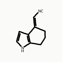 [C-]#[N+]C=C1CCCc2[nH]ccc21